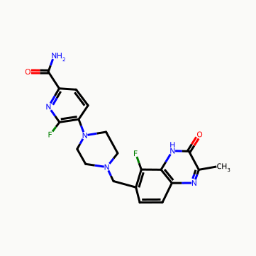 Cc1nc2ccc(CN3CCN(c4ccc(C(N)=O)nc4F)CC3)c(F)c2[nH]c1=O